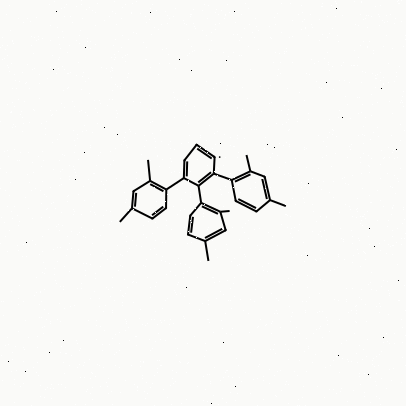 Cc1ccc(-c2[c]ccc(-c3ccc(C)cc3C)c2-c2ccc(C)cc2C)c(C)c1